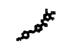 CCCC1CCC(C=Cc2ccc(C(=O)Oc3cc(F)c(C#N)c(F)c3)cc2)CC1